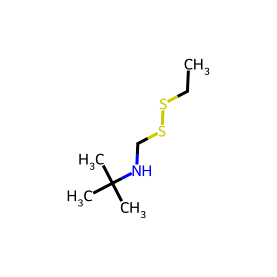 CCSSCNC(C)(C)C